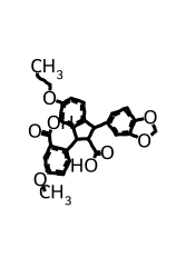 CCCOc1ccc2c(c1)C(c1ccc(OC)cc1C(=O)O)C(C(=O)O)C2c1ccc2c(c1)OCO2